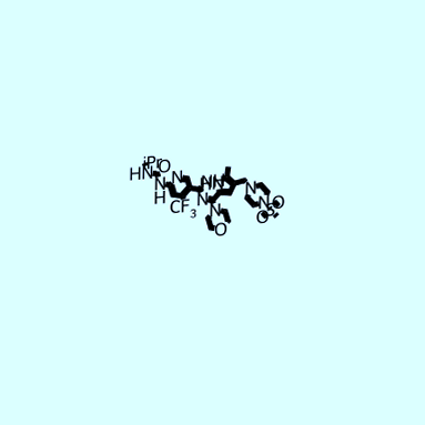 Cc1[nH]c(/C(=N\C(=N)c2cnc(NC(=O)NC(C)C)cc2C(F)(F)F)N2CCOCC2)cc1CN1CCN(S(C)(=O)=O)CC1